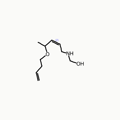 C=CCCOC(C)/C=C\CNCO